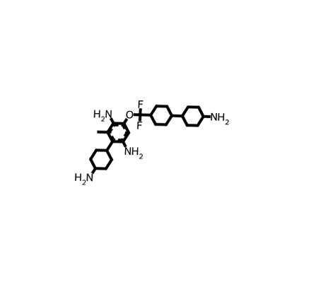 Cc1c(N)c(OC(F)(F)C2CCC(C3CCC(N)CC3)CC2)cc(N)c1C1CCC(N)CC1